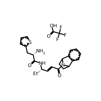 CC[C@@H](/C=C/C(=O)N1C2CCC1c1ccccc12)NC(=O)[C@@H](N)Cc1cccs1.O=C(O)C(F)(F)F